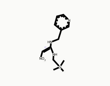 C[Si](C)(C)CN/C(=C\[N+](=O)[O-])NCc1cccnc1